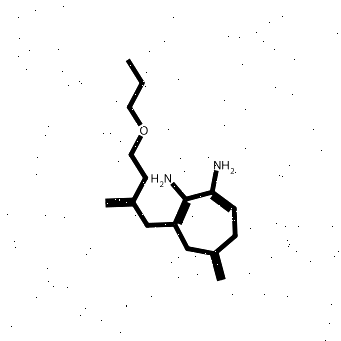 C=C1CC=C(N)C(N)=C(CC(=C)CCOCCC)C1